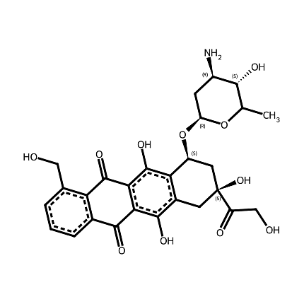 CC1O[C@@H](O[C@H]2C[C@](O)(C(=O)CO)Cc3c(O)c4c(c(O)c32)C(=O)c2c(CO)cccc2C4=O)C[C@@H](N)[C@@H]1O